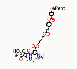 CCCCCOc1ccc(C(=O)Oc2ccc(/C=C/C(=O)OCCCCCCOC(=O)c3cc(NC(=O)C4C(C(=O)O)C(C(=O)C(C)C)C4C(=O)O)cc(NC(C)C)c3)cc2)cc1